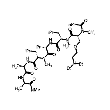 CCCC(=O)N(C)[C@H](COCCN(CC)CC)C(=O)N(C)[C@@H](CC(C)C)C(=O)N[C@H](C(=O)N(C)[C@@H](CC(C)C)C(=O)N[C@H](C)C(=O)N[C@H](C)C(=O)NC)C(C)C